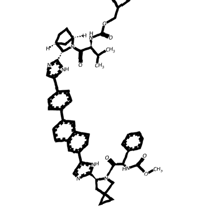 COC(=O)N[C@@H](C(=O)N1CC2(CC2)C[C@H]1c1ncc(-c2ccc3cc(-c4ccc(-c5cnc([C@@H]6[C@H]7CC[C@H](C7)N6C(=O)[C@@H](NC(=O)OCC6CCC6)C(C)C)[nH]5)cc4)ccc3c2)[nH]1)c1ccccc1